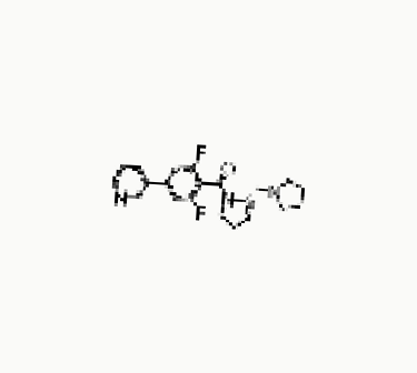 O=C(c1c(F)cc(-c2cccnc2)cc1F)N1CCC[C@H]1CN1CCCC1